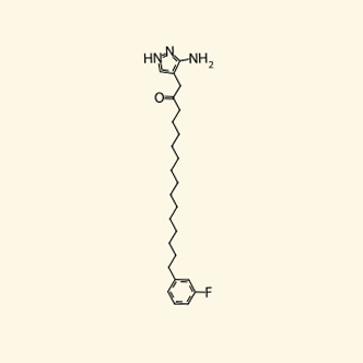 Nc1n[nH]cc1CC(=O)CCCCCCCCCCCCCCc1cccc(F)c1